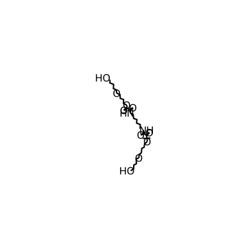 CC(C)(OCCCCCOCCCCO)C(=O)C(=O)NCCCCCCNC(=O)C(=O)OCCCCOCCCCCO